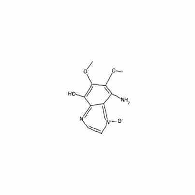 COc1c(OC)c(N)c2c(ncc[n+]2[O-])c1O